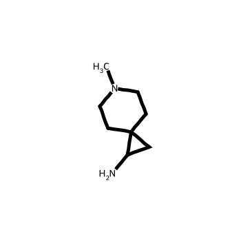 CN1CCC2(CC1)CC2N